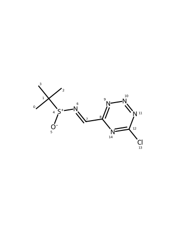 CC(C)(C)[S+]([O-])/N=C/c1nnnc(Cl)n1